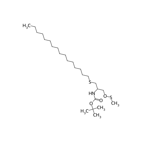 CCCCCCCCCCCCCCCCSCC(COSC)NC(=O)OC(C)(C)C